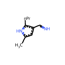 CCCc1[nH]c(C)cc1C=N